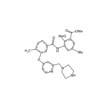 COC(=O)c1cc(C(C)(C)C)cc(NC(=O)c2ccc(C)c(Oc3ccnc(CN4CCNCC4)c3)c2)c1OC